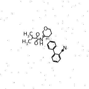 CC(C)S(=O)(=O)N[C@H]1COCC[C@@H]1c1ccc(-c2ccccc2C#N)cc1